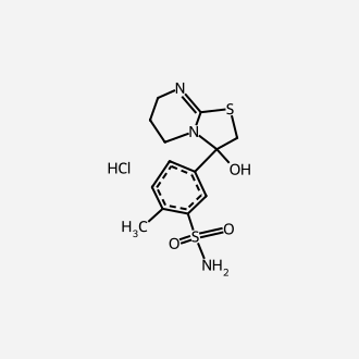 Cc1ccc(C2(O)CSC3=NCCCN32)cc1S(N)(=O)=O.Cl